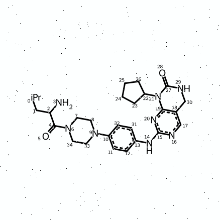 CC(C)CC(N)C(=O)N1CCN(c2ccc(Nc3ncc4c(n3)N(C3CCCC3)C(=O)NC4)cc2)CC1